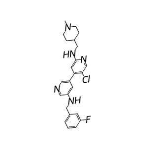 CN1CCC(CNc2cc(-c3cncc(NCc4cccc(F)c4)c3)c(Cl)cn2)CC1